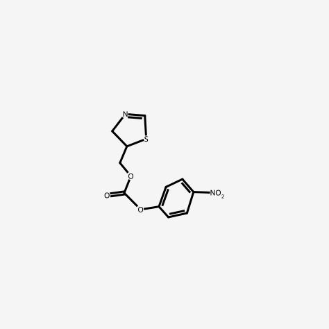 O=C(OCC1CN=CS1)Oc1ccc([N+](=O)[O-])cc1